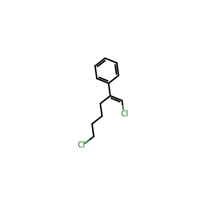 ClC=C(CCCCCl)c1ccccc1